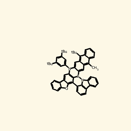 Cc1c2ccccc2c(C(C)(C)C)c2cc3c(cc12)B1c2c(cc4c(oc5ccccc54)c2-c2cccc4c5ccccc5n1c24)N3c1cc(C(C)(C)C)cc(C(C)(C)C)c1